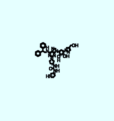 O=C(N[C@@H]1CCNC1)N[C@@H]1CCN(c2nc(NCC(c3ccccc3)c3ccccc3)c3ncn([C@@H]4C[C@H](n5cc(CO)cn5)[C@@H](O)[C@H]4O)c3n2)C1